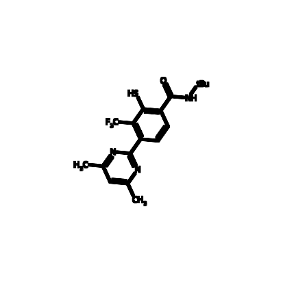 Cc1cc(C)nc(-c2ccc(C(=O)NC(C)(C)C)c(S)c2C(F)(F)F)n1